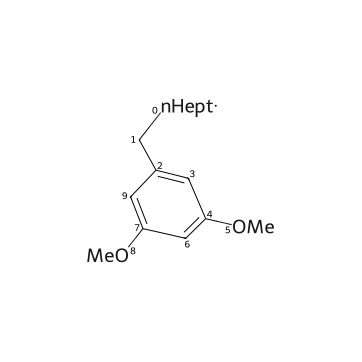 CCCCCC[CH]Cc1cc(OC)cc(OC)c1